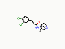 O=C(/C=C/c1ccc(Cl)c(Cl)c1)N[C@H]1CN2CCC1CC2